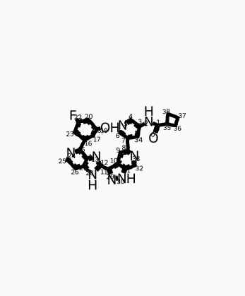 O=C(Nc1cncc(-c2cc3c(-c4nc5c(-c6cc(O)cc(F)c6)nccc5[nH]4)n[nH]c3cn2)c1)C1CCC1